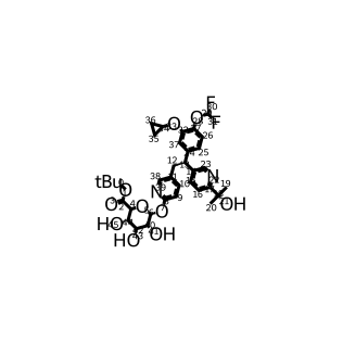 CC(C)(C)OC(=O)C1O[C@@H](Oc2ccc(C[C@H](c3ccc(C(C)(C)O)nc3)c3ccc(OC(F)F)c(OC4CC4)c3)cn2)[C@@H](O)C(O)[C@@H]1O